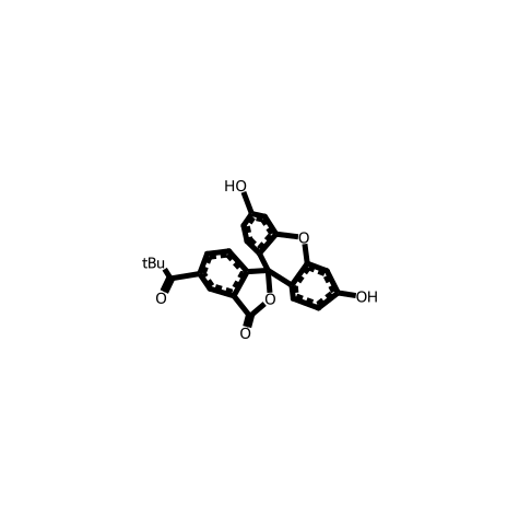 CC(C)(C)C(=O)c1ccc2c(c1)C(=O)OC21c2ccc(O)cc2Oc2cc(O)ccc21